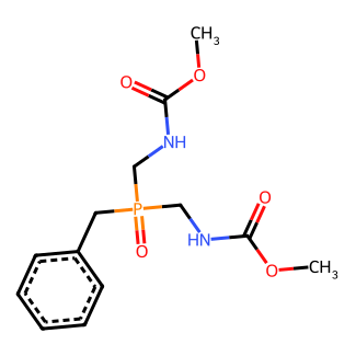 COC(=O)NCP(=O)(CNC(=O)OC)Cc1ccccc1